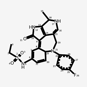 CCS(=O)(=O)NC1=CC2=C3C(=O)NC4=C3C(=CNC4C)CN(c3ccc(F)cc3)C2C=C1